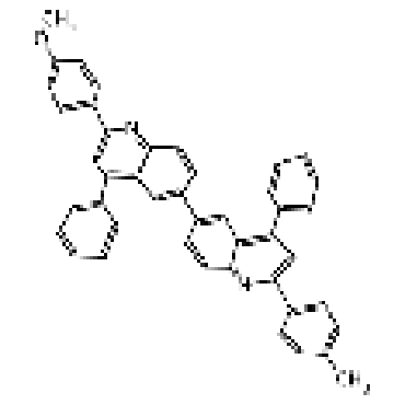 COc1ccc(-c2cc(-c3ccccc3)c3cc(-c4ccc5nc(-c6ccc(C)cc6)cc(-c6ccccc6)c5c4)ccc3n2)cc1